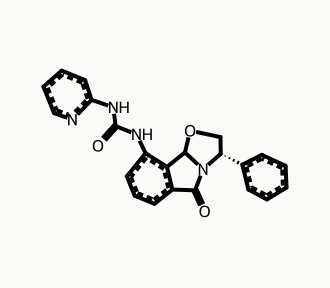 O=C(Nc1ccccn1)Nc1cccc2c1C1OC[C@H](c3ccccc3)N1C2=O